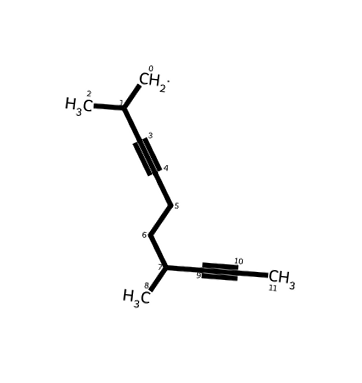 [CH2]C(C)C#CCCC(C)C#CC